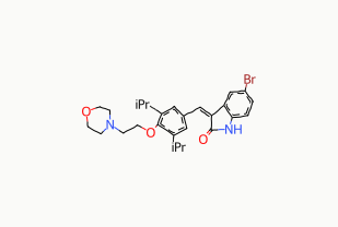 CC(C)c1cc(C=C2C(=O)Nc3ccc(Br)cc32)cc(C(C)C)c1OCCN1CCOCC1